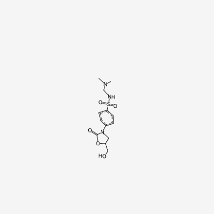 CN(C)CNS(=O)(=O)c1ccc(N2CC(CO)OC2=O)cc1